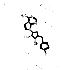 Cc1ncnc2c1ccn2C1CC(Cc2ccc(F)cc2)[C@@H](O)[C@H]1O